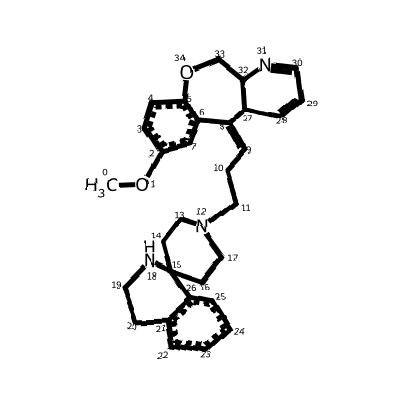 COc1ccc2c(c1)C(=CCCN1CCC3(CC1)NCCc1ccccc13)C1C=CC=NC1CO2